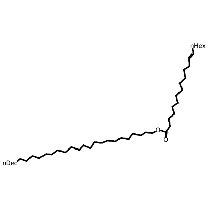 CCCCCCC=CCCCCCCCCCCCC(=O)OCCCCCCCCCCCCCCCCCCCCCCCCCCCCCCCC